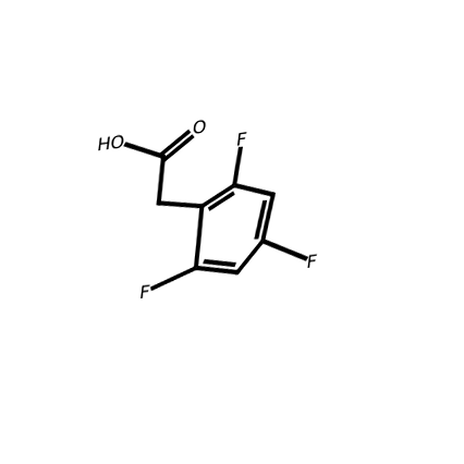 O=C(O)Cc1c(F)cc(F)cc1F